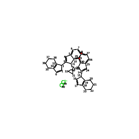 C1=CC(C2=Cc3ccccc3[CH]2[Zr+2]2([CH]3C(C4C=CC5=C4CCCC5)=Cc4ccccc43)[CH2][CH2]2)C2=C1CCCC2.[Cl-].[Cl-]